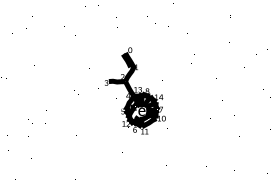 C=CC(C)[C]12[CH]3[CH]4[CH]5[CH]1[Fe]45321678[CH]2[CH]1[CH]6[CH]7[CH]28